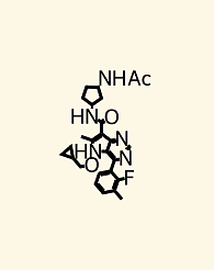 CC(=O)N[C@H]1CC[C@H](NC(=O)c2c(C)[nH]c3c(-c4c(OCC5CC5)ccc(C)c4F)ncnc23)C1